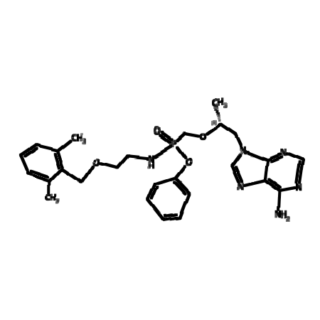 Cc1cccc(C)c1COCCNP(=O)(CO[C@H](C)Cn1cnc2c(N)ncnc21)Oc1ccccc1